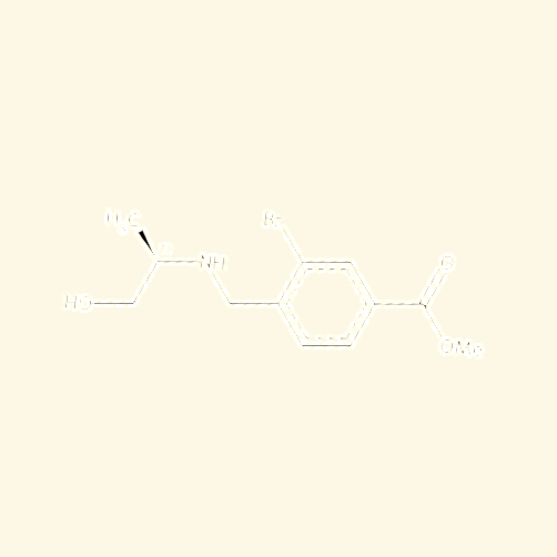 COC(=O)c1ccc(CN[C@H](C)CO)c(Br)c1